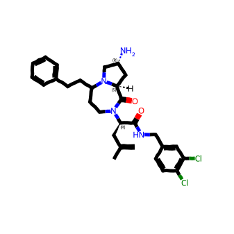 C=C(C)C[C@H](C(=O)NCc1ccc(Cl)c(Cl)c1)N1CCC(CCc2ccccc2)N2C[C@H](N)C[C@H]2C1=O